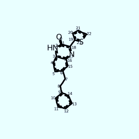 O=c1[nH]c2ccc(CCc3ccccc3)cc2nc1-c1cccs1